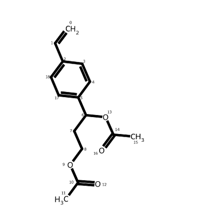 C=Cc1ccc(C(CCOC(C)=O)OC(C)=O)cc1